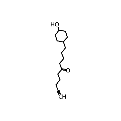 C#CCCCC(=O)CCCCC1CCC(O)CC1